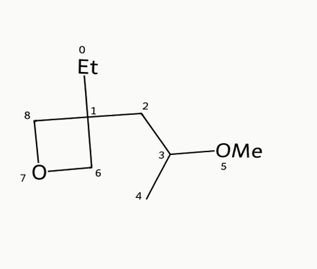 CCC1(CC(C)OC)COC1